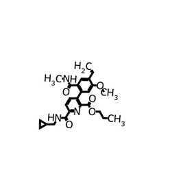 C=Cc1cc(C(=O)NC)c(-c2ccc(C(=O)NCC3CC3)nc2C(=O)OCCC)cc1OC